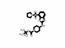 CC(C)(C)OC(=O)N1CCC(Nc2nc3cccc(S(=O)(=O)N4CCCC4)c3o2)CC1